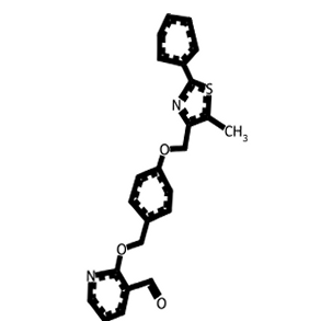 Cc1sc(-c2ccccc2)nc1COc1ccc(COc2ncccc2C=O)cc1